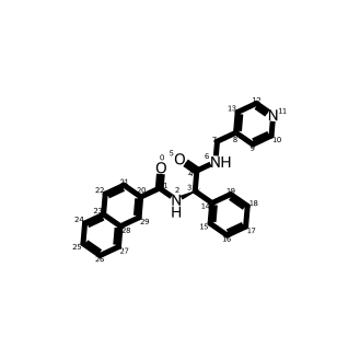 O=C(N[C@@H](C(=O)NCc1ccncc1)c1ccccc1)c1ccc2ccccc2c1